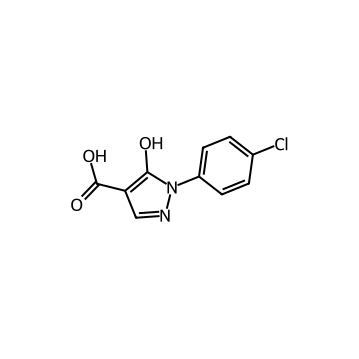 O=C(O)c1cnn(-c2ccc(Cl)cc2)c1O